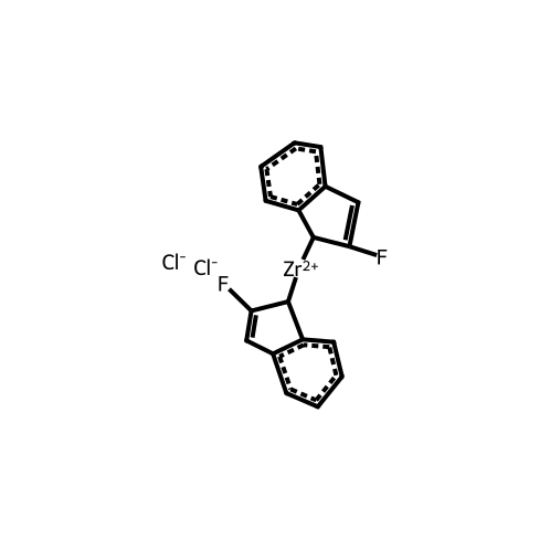 FC1=Cc2ccccc2[CH]1[Zr+2][CH]1C(F)=Cc2ccccc21.[Cl-].[Cl-]